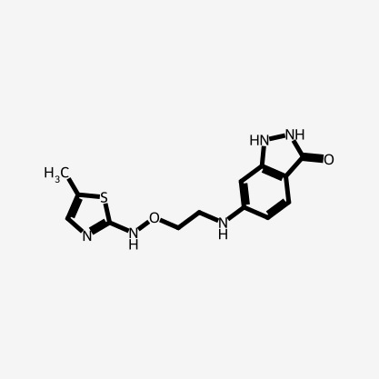 Cc1cnc(NOCCNc2ccc3c(=O)[nH][nH]c3c2)s1